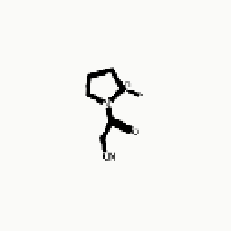 [CH2][C@@H]1CCCN1C(=O)CC#N